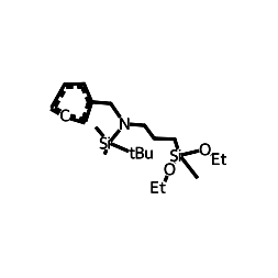 CCO[Si](C)(CCCN(Cc1ccccc1)[Si](C)(C)C(C)(C)C)OCC